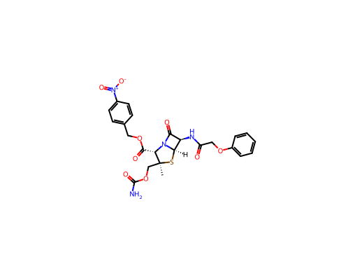 C[C@@]1(COC(N)=O)S[C@@H]2[C@H](NC(=O)COc3ccccc3)C(=O)N2[C@H]1C(=O)OCc1ccc([N+](=O)[O-])cc1